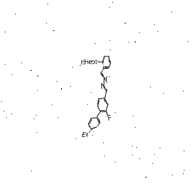 CCCCCCCc1ccccc1C=NN=Cc1ccc(-c2ccc(CC)cc2)c(F)c1